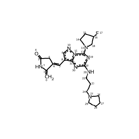 C=C1NC(=O)C/C1=C\c1cnn2c(N3CC[C@@H](F)C3)nc(NCCCN3CCCC3)nc12